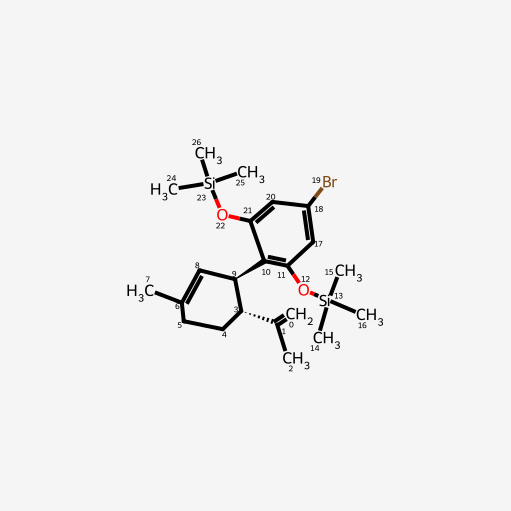 C=C(C)[C@@H]1CCC(C)=C[C@H]1c1c(O[Si](C)(C)C)cc(Br)cc1O[Si](C)(C)C